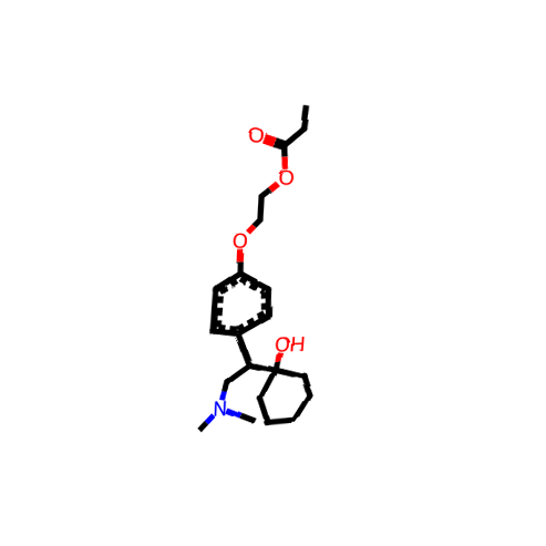 CCC(=O)OCCOc1ccc(C(CN(C)C)C2(O)CCCCC2)cc1